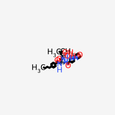 CCCCc1ccc(C(=O)N[C@@H](CNC(=O)c2ccc(N3CCOCC3)nc2)C(=O)N[C@@H](CC(C)C)B(O)O)cc1